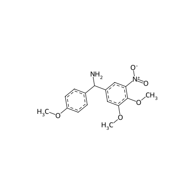 COc1ccc(C(N)c2cc(OC)c(OC)c([N+](=O)[O-])c2)cc1